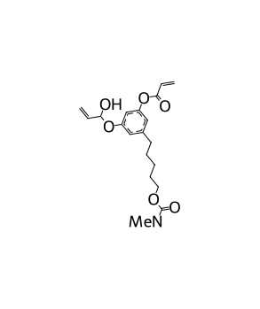 C=CC(=O)Oc1cc(CCCCCOC(=O)NC)cc(OC(O)C=C)c1